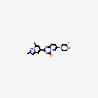 Cc1cc2cc(-c3nc(=O)n4cc(N5CCN[C@@H](C)C5)ccc4n3)cc(C)n2n1